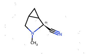 CN1CC2CC2[C@H]1C#N